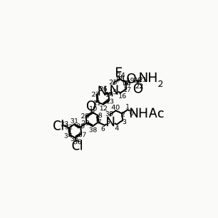 CC(=O)NCC1CCN(Cc2cc(Oc3ccc(N4CC[C@H](OC(N)=O)[C@H](F)C4)nc3)cc(-c3cc(Cl)cc(Cl)c3)c2)CC1